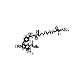 CCCCCCCCNC(=O)CCOCCOCCCNC(=O)CNC(=O)c1ccc(Cn2c(O)nc3c(N)nc(NCCCC)nc32)cc1